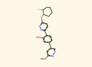 COc1cc(-c2ccc(-c3ccc(O[C@@H]4CCCC[C@@H]4F)nn3)c(O)c2)cnn1